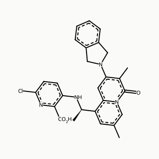 Cc1cc([C@@H](C)Nc2ccc(Cl)nc2C(=O)O)c2cc(N3Cc4ccccc4C3)c(C)c(=O)n2c1